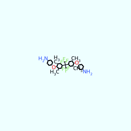 Cc1cc(C(c2cc(C)c(Oc3ccc(N)cc3)c(C)c2)(C(F)(F)F)C(F)(F)F)cc(C)c1Oc1ccc(N)cc1